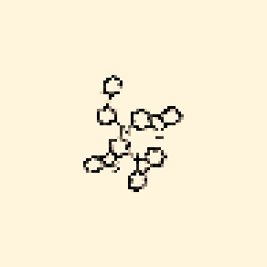 c1ccc(-c2cccc(N(c3ccc4c(c3)oc3ccccc34)c3cc(-n4c5ccccc5c5ccccc54)c4sc5ccccc5c4c3)c2)cc1